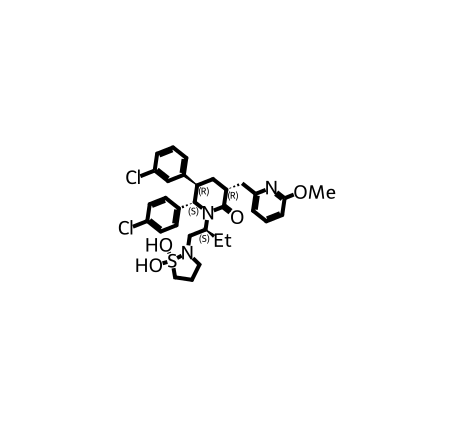 CC[C@@H](CN1CCCS1(O)O)N1C(=O)[C@@H](Cc2cccc(OC)n2)C[C@H](c2cccc(Cl)c2)[C@H]1c1ccc(Cl)cc1